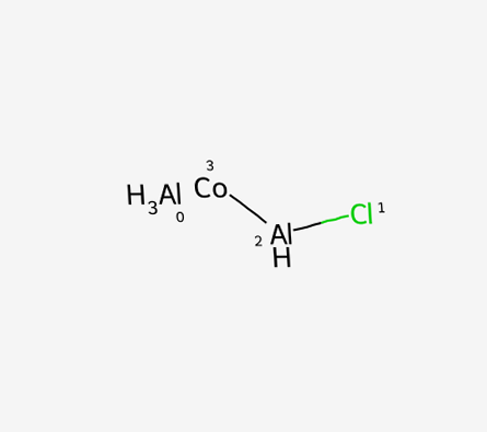 [AlH3].[Cl][AlH][Co]